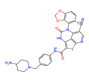 N#Cc1cnc2sc(C(=O)Nc3ccc(CN4CCC(N)CC4)cc3)c3c2c1N(c1c(Cl)ccc2c1OCO2)C(=O)N3